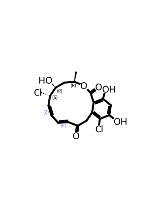 C[C@@H]1C[C@@H](O)[C@@H](Cl)/C=C\C=C\C(=O)Cc2c(Cl)c(O)cc(O)c2C(=O)O1